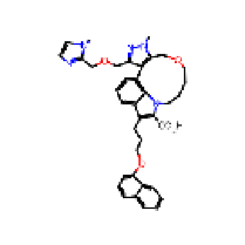 Cn1ccnc1COCc1nn(C)c2c1-c1cccc3c(CCCOc4cccc5ccccc45)c(C(=O)O)n(c13)CCCCOC2